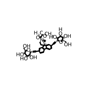 COC(C)C(=O)N1CCC2(CC1)c1cc(C#C[C@H]3O[C@H](CO)[C@@H](O)[C@H](O)[C@@H]3O)ccc1-c1ccc(C#C[C@H]3O[C@H](CO)[C@@H](O)[C@H](O)[C@@H]3O)cc12